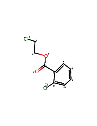 O=C(OCCCl)c1ccccc1Cl